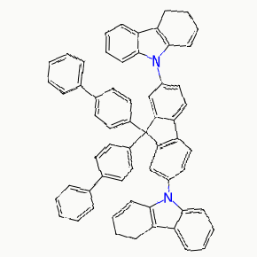 C1=Cc2c(c3ccccc3n2-c2ccc3c(c2)C(c2ccc(-c4ccccc4)cc2)(c2ccc(-c4ccccc4)cc2)c2cc(-n4c5c(c6ccccc64)CCC=C5)ccc2-3)CC1